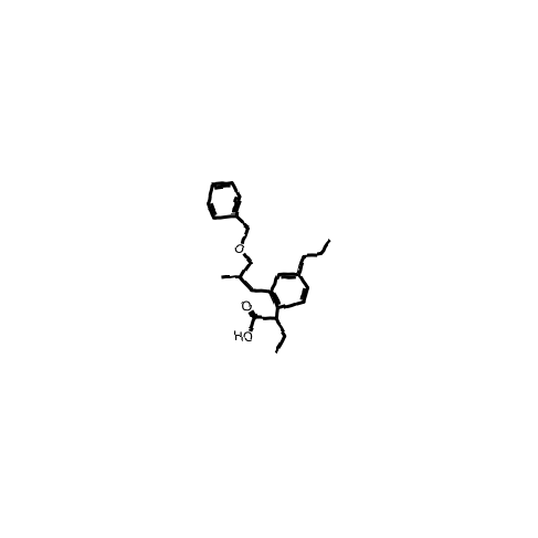 CCCc1ccc(C(CC)C(=O)O)c(CC(C)COCc2ccccc2)c1